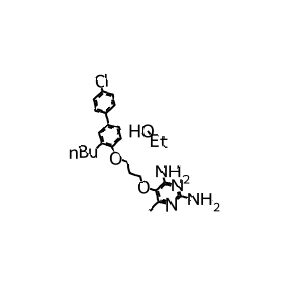 CCCCc1cc(-c2ccc(Cl)cc2)ccc1OCCCOc1c(C)nc(N)nc1N.CCO